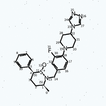 C[C@H]1CC[C@@H](c2ccccc2)[S+]([O-])N1Cc1ccc(N2CCC(n3cnnc3)CC2)c(F)c1